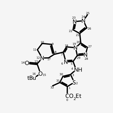 CCOC(=O)c1sc(Nc2nc(C3=CCCN(C(=O)OC(C)(C)C)C3)cn3c(-c4cnn(C)c4)cnc23)cc1C